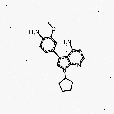 COc1cc(-c2cn(C3CCCC3)c3ncnc(N)c23)ccc1N